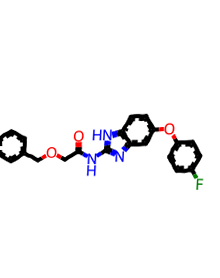 O=C(COCc1ccccc1)Nc1nc2cc(Oc3ccc(F)cc3)ccc2[nH]1